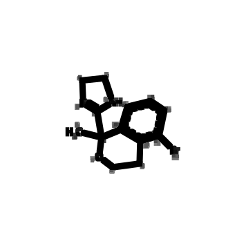 CC1(C2=NCCN2)OCCc2c(Br)cccc21